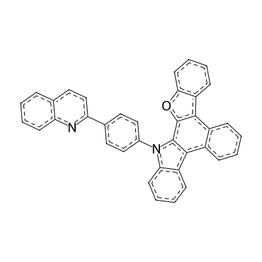 c1ccc2nc(-c3ccc(-n4c5ccccc5c5c6ccccc6c6c7ccccc7oc6c54)cc3)ccc2c1